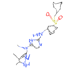 Cc1[nH]nc(N(C)c2ccnc(Nc3cccc(S(=O)(=O)C4CCCC4)c3)n2)c1C